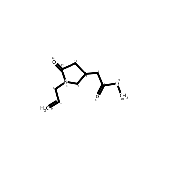 C=CCN1CC(CC(=O)OC)CC1=O